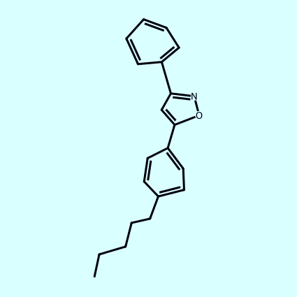 CCCCCc1ccc(-c2cc(-c3ccccc3)no2)cc1